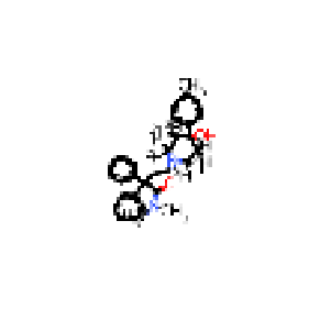 [2H]C1([2H])N(CCC(C(=O)N(C)C)(c2ccccc2)c2ccccc2)C([2H])([2H])C([2H])([2H])C(O)(c2ccc(C)cc2)C1([2H])[2H]